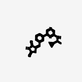 CC(Nc1cncc(-c2cccc(C=C3SC(=O)NC3=O)c2)n1)C1CC1